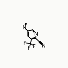 C=Nc1cnc(C#N)c(C(F)(F)F)c1